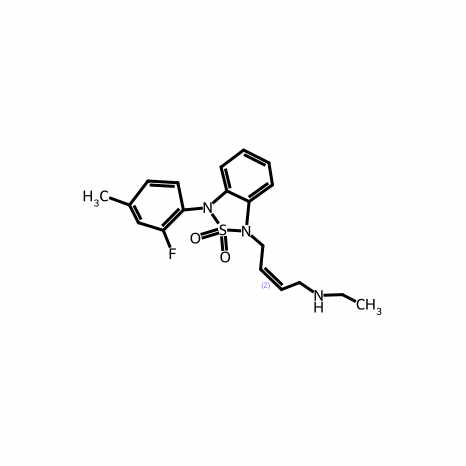 CCNC/C=C\CN1c2ccccc2N(c2ccc(C)cc2F)S1(=O)=O